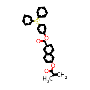 C=C(C)C(=O)Oc1ccc2cc(C(=O)Oc3ccc([S+](c4ccccc4)c4ccccc4)cc3)ccc2c1